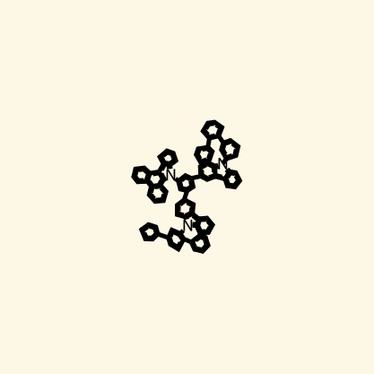 c1ccc(-c2ccc(-c3ccccc3)c(-n3c4ccccc4c4cc(-c5cc(-c6ccc7c(c6)c6ccccc6n7-c6cccc(-c7ccccc7-c7ccccc7)c6)cc(-n6c7ccccc7c7c8ccccc8c8ccccc8c76)c5)ccc43)c2)cc1